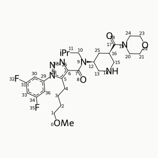 COCCCCc1c(C(=O)N(CC(C)C)[C@@H]2CNC[C@H](C(=O)N3CCOCC3)C2)nnn1-c1cc(F)cc(F)c1